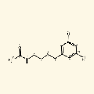 O=C(NCCSCc1cc(Cl)cc(Cl)c1)C(F)(F)F